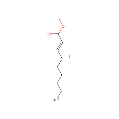 COC(=O)C=CCCCC[CH2][Zn+].[I-]